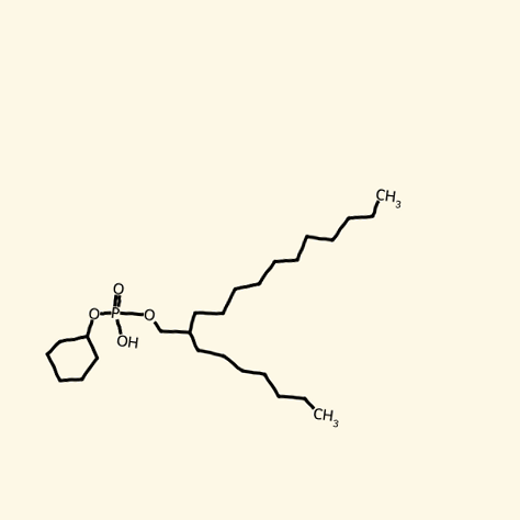 CCCCCCCCCCCC(CCCCCCC)COP(=O)(O)OC1CCCCC1